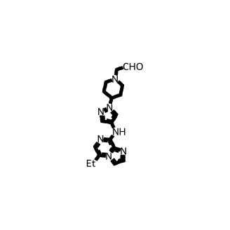 CCc1cnc(Nc2cnn(C3CCN(CC=O)CC3)c2)c2nccn12